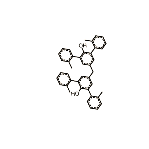 Cc1ccccc1-c1cc(Cc2cc(-c3ccccc3C)c(O)c(-c3ccccc3C)c2)cc(-c2ccccc2C)c1O